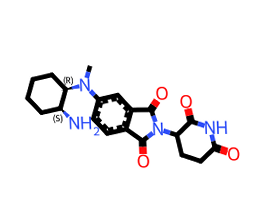 CN(c1ccc2c(c1)C(=O)N(C1CCC(=O)NC1=O)C2=O)[C@@H]1CCCC[C@@H]1N